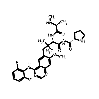 CN[C@@H](C)C(=O)N[C@H](C(=O)NC(=O)[C@@H]1CCCN1)C(C)(C)Cc1cc2c(Nc3c(F)cccc3F)ncnc2cc1OC